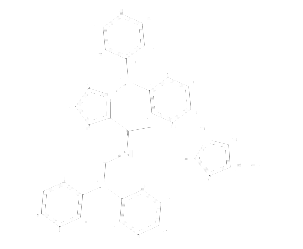 CC(NCP(c1ccccc1)c1ccccc1)c1ccc[c-]1P(c1ccccc1)c1ccccc1.[Fe+2].c1cc[cH-]c1